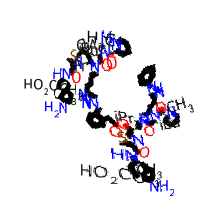 CC[C@H](C)[C@H](NC(=O)[C@H]1CCCCN1C)C(=O)N(CCCCc1cn(Cc2ccccc2CC(=O)O[C@H](C[C@H](C(C)C)N(CCCCc2cn(-c3ccccc3)nn2)C(=O)[C@@H](NC(=O)[C@H]2CCCCN2C)[C@@H](C)CC)c2nc(C(=O)N[C@@H](Cc3ccc(N)cc3)CC(C)(C)C(=O)O)cs2)nn1)[C@H](C[C@@H](OC(C)=O)c1nc(C(=O)N[C@@H](Cc2ccc(N)cc2)CC(C)(C)C(=O)O)cs1)C(C)C